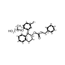 C[C@H](Oc1ccc(F)cc1C1c2ccccc2CCN1OC(=O)OCc1ccccc1)C(=O)O